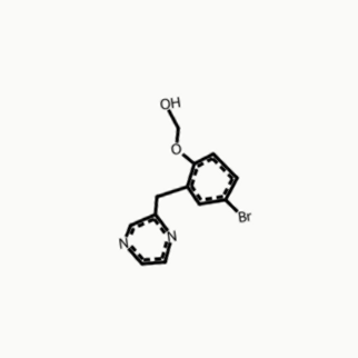 OCOc1ccc(Br)cc1Cc1cnccn1